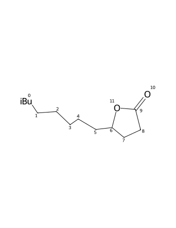 CCC(C)CCCCCC1CCC(=O)O1